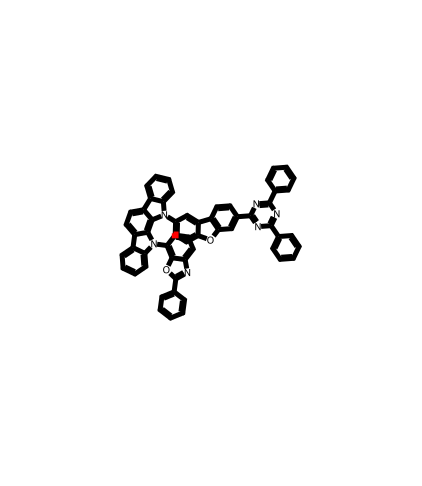 c1ccc(-c2nc(-c3ccccc3)nc(-c3ccc4c(c3)oc3ccc(-n5c6ccccc6c6ccc7c8ccccc8n(-c8cccc9nc(-c%10ccccc%10)oc89)c7c65)cc34)n2)cc1